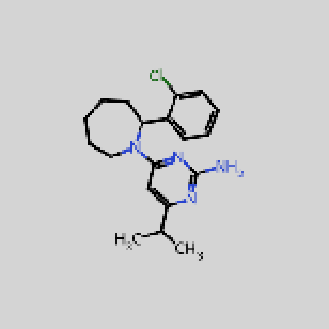 CC(C)c1cc(N2CCCCCC2c2ccccc2Cl)nc(N)n1